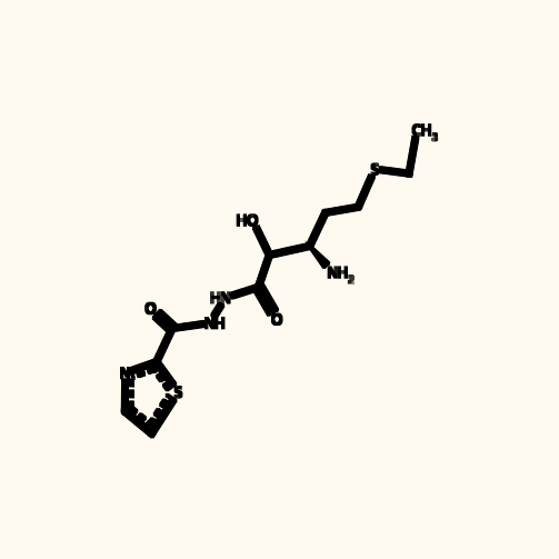 CCSCC[C@@H](N)C(O)C(=O)NNC(=O)c1nccs1